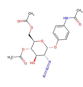 CC(=O)Nc1ccc(O[C@H]2O[C@H](COC(C)=O)[C@@H](OC(C)=O)[C@H](O)[C@H]2N=[N+]=[N-])cc1